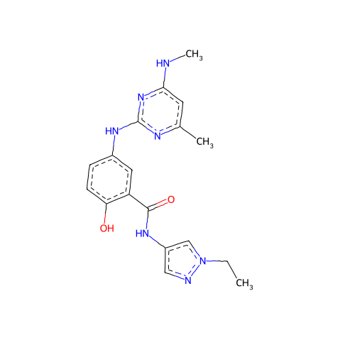 CCn1cc(NC(=O)c2cc(Nc3nc(C)cc(NC)n3)ccc2O)cn1